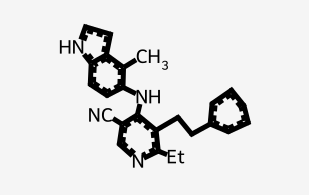 CCc1ncc(C#N)c(Nc2ccc3[nH]ccc3c2C)c1CCc1ccccc1